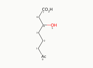 CC(=O)CCCC(O)CC(=O)O